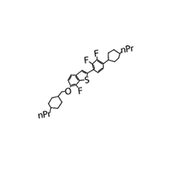 CCCC1CCC(COc2ccc3cc(-c4ccc(C5CCC(CCC)CC5)c(F)c4F)sc3c2F)CC1